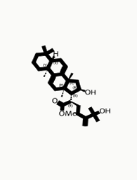 C=C(CC[C@@H](C(=O)OC)[C@H]1[C@H](O)C[C@@]2(C)C3=CC[C@H]4C(C)(C)CCC[C@]4(C)C3=CC[C@]12C)C(C)(C)O